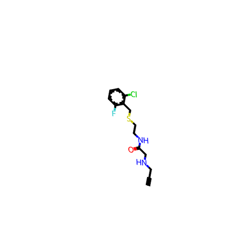 C#CCNCC(=O)NCCSCc1c(F)cccc1Cl